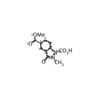 COC(=O)c1ccc2c(c1)c(=O)n(C)n2C(=O)O